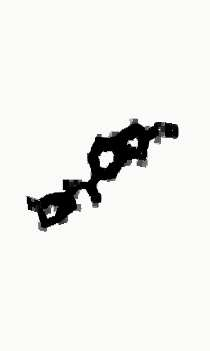 O=Cc1cc2ccc(C(=O)NC3CC4CNC3C4)cc2o1